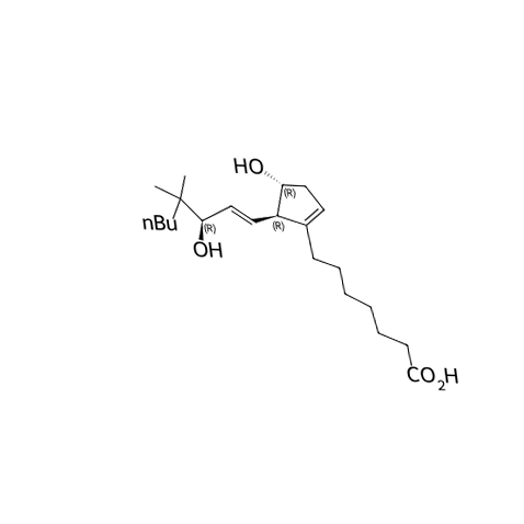 CCCCC(C)(C)[C@H](O)C=C[C@@H]1C(CCCCCCC(=O)O)=CC[C@H]1O